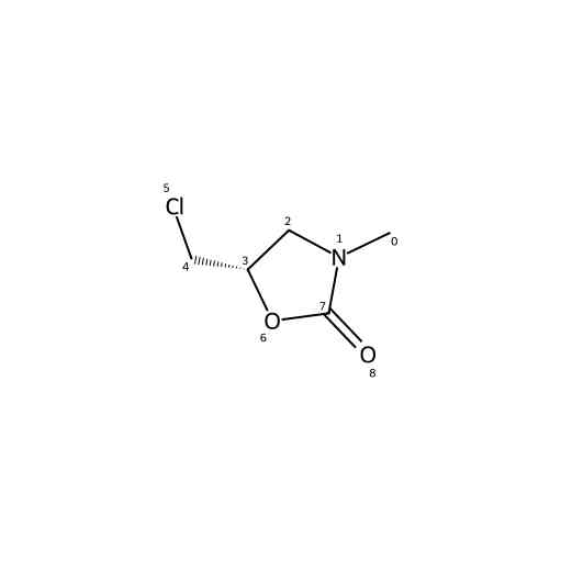 CN1C[C@@H](CCl)OC1=O